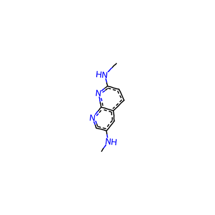 CNc1cnc2nc(NC)ccc2c1